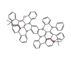 CC(C)(C)c1ccc(-c2ccccc2N2c3cc4c(cc3B3c5ccccc5Oc5c3c2cc2oc3ccccc3c52)B2c3ccccc3N(c3ccccc3)c3c2c(cc2oc5ccccc5c32)N4c2ccccc2-c2ccc(C(C)(C)C)cc2)cc1